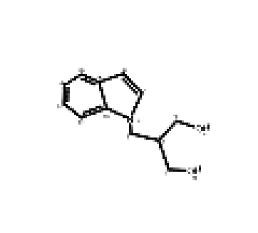 OCC(CO)Cn1[c]cc2ccccc21